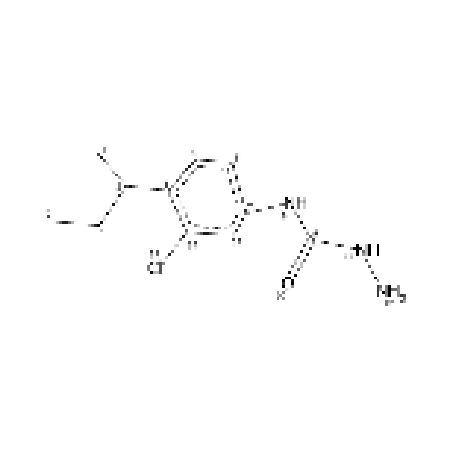 CCC(C)c1ccc(NC(=O)NN)cc1Cl